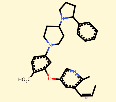 C/C=C\c1cc(Oc2cc(N3CCC(N4CCCC4c4ccccc4)CC3)ccc2C(=O)O)cnc1C